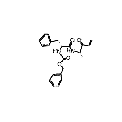 C=CC(=O)[C@H](C)NC(=O)[C@@H](Cc1ccccc1)NC(=O)OCc1ccccc1